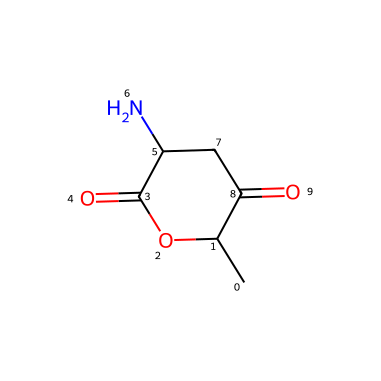 CC1OC(=O)C(N)CC1=O